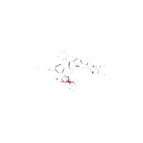 COc1ccc2c(c1)[C@H](O)[C@@](O)(C(=O)N1C3CCC1CN(C)C3)Cn1c-2c(C2CCCCC2)c2ccc(C(=O)NS(=O)(=O)N(C)C)cc21